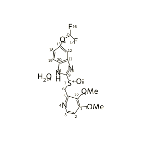 COc1ccnc(C[S+]([O-])c2nc3cc(OC(F)F)ccc3[nH]2)c1OC.O